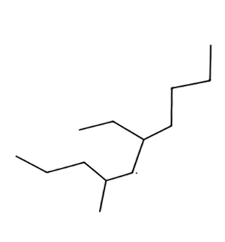 CCCCC([CH]C(C)CCC)CC